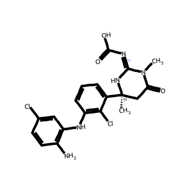 CN1C(=O)C[C@@](C)(c2cccc(Nc3cc(Cl)ccc3N)c2Cl)N/C1=N\C(=O)O